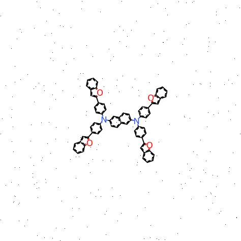 c1ccc2oc(-c3ccc(N(c4ccc(-c5cc6ccccc6o5)cc4)c4ccc5cc(N(c6ccc(-c7cc8ccccc8o7)cc6)c6ccc(-c7cc8ccccc8o7)cc6)ccc5c4)cc3)cc2c1